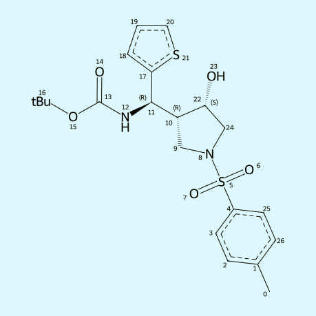 Cc1ccc(S(=O)(=O)N2C[C@H]([C@@H](NC(=O)OC(C)(C)C)c3cccs3)[C@H](O)C2)cc1